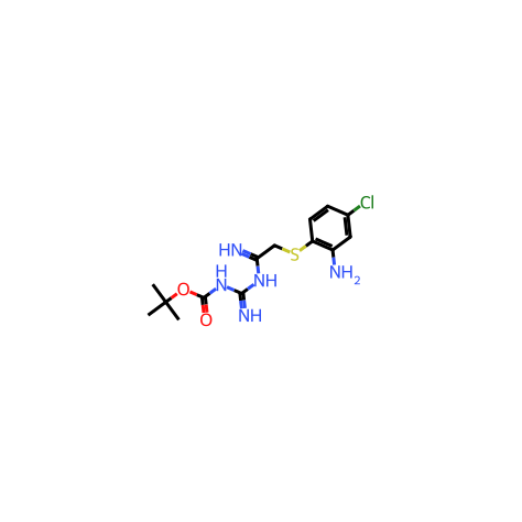 CC(C)(C)OC(=O)NC(=N)NC(=N)CSc1ccc(Cl)cc1N